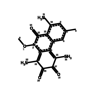 COn1c2c(c3cc(C)cc([SiH3])c3c1=O)=C([SiH3])C(=O)C(=O)C=2[SiH3]